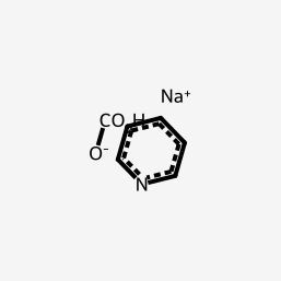 O=C([O-])O.[Na+].c1ccncc1